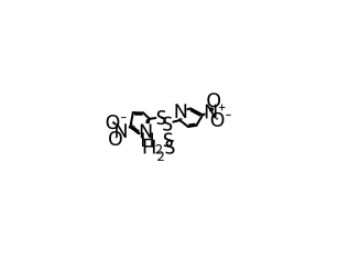 O=[N+]([O-])c1ccc(SSc2ccc([N+](=O)[O-])cn2)nc1.S.S